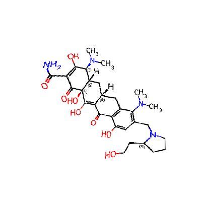 CN(C)c1c(CN2CCC[C@H]2CCO)cc(O)c2c1C[C@H]1C[C@H]3[C@H](N(C)C)C(O)=C(C(N)=O)C(=O)[C@@]3(O)C(O)=C1C2=O